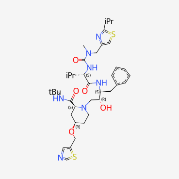 CC(C)c1nc(CN(C)C(=O)N[C@H](C(=O)N[C@@H](Cc2ccccc2)[C@H](O)CN2CC[C@@H](OCc3cncs3)C[C@H]2C(=O)NC(C)(C)C)C(C)C)cs1